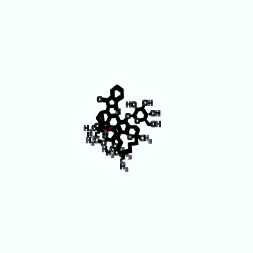 COC(=O)/C(C)=C\CC12OC(C)(C)C3CC(C1=O)C1C4=C(N=C5c6ccccc6C(=O)C51)c1c(O[C@@H]5O[C@H](CO)[C@@H](O)[C@H](O)[C@H]5O)c5c(c(CC=C(C)C)c1OC432)OC(C)(CCC=C(C)C)C=C5